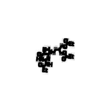 CCC(=O)Nc1nc2c(ncn2CCC(COC(=O)CC)COC(=O)CC)c(=O)[nH]1